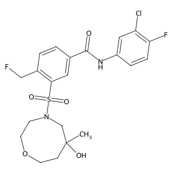 CC1(O)CCOCCN(S(=O)(=O)c2cc(C(=O)Nc3ccc(F)c(Cl)c3)ccc2CF)C1